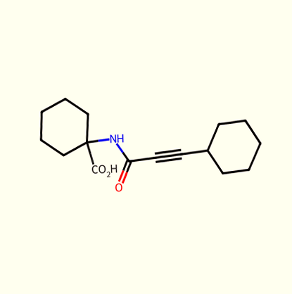 O=C(C#CC1CCCCC1)NC1(C(=O)O)CCCCC1